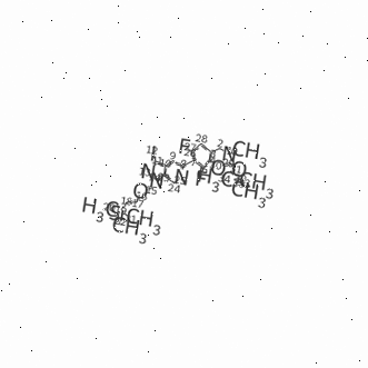 CN(Cc1cc(F)c(-c2cc3c(I)nn(COCC[Si](C)(C)C)c3cn2)c(F)c1)C(=O)OC(C)(C)C